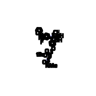 CNC(=O)/C=C/CN(CCOc1ccc(/C(=C(/CC(F)(F)F)B(O)O)c2ccc3c(c2)c(F)nn3C2CCCCO2)cc1)C(=O)OC(C)(C)C